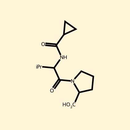 CC(C)C(NC(=O)C1CC1)C(=O)N1CCCC1C(=O)O